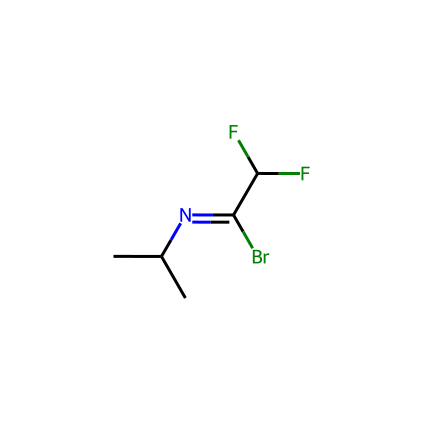 CC(C)N=C(Br)C(F)F